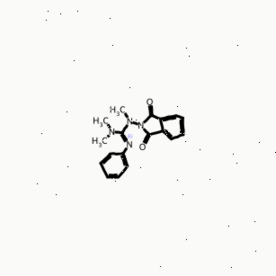 CN(C)/C(=N\c1ccccc1)N(C)N1C(=O)c2ccccc2C1=O